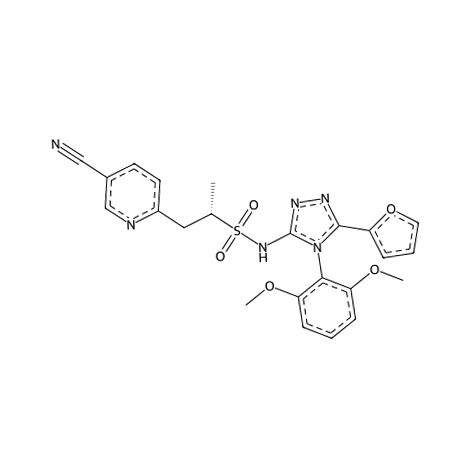 COc1cccc(OC)c1-n1c(NS(=O)(=O)[C@@H](C)Cc2ccc(C#N)cn2)nnc1-c1ccco1